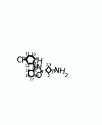 N[C@H]1C[C@H](C(=O)N[C@@H](c2cccc(Cl)c2)C2CCCC2)C1